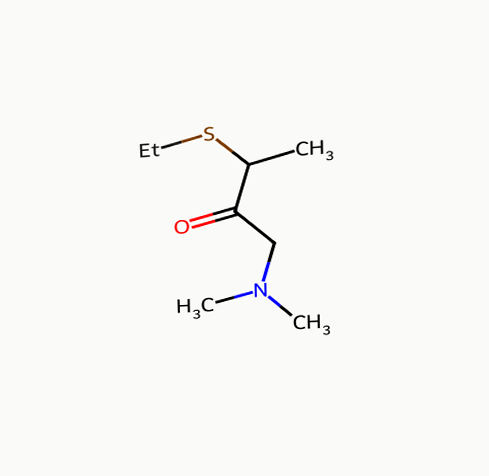 CCSC(C)C(=O)CN(C)C